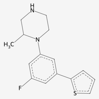 CC1CNCCN1c1cc(F)cc(-c2cccs2)c1